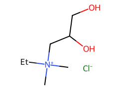 CC[N+](C)(C)CC(O)CO.[Cl-]